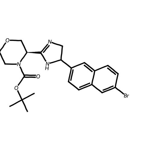 CC(C)(C)OC(=O)N1CCOC[C@H]1C1=NCC(c2ccc3cc(Br)ccc3c2)N1